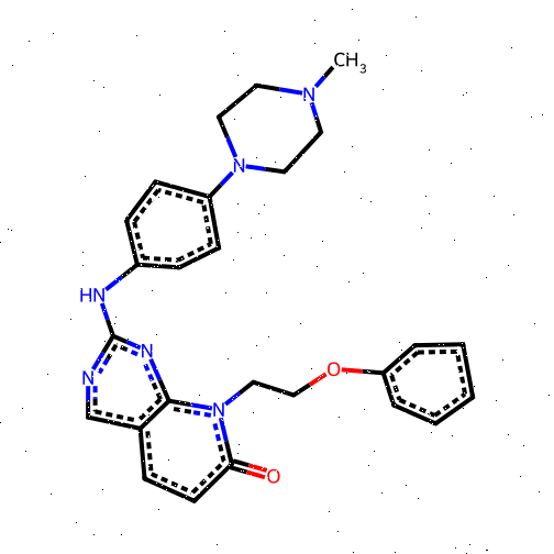 CN1CCN(c2ccc(Nc3ncc4ccc(=O)n(CCOc5ccccc5)c4n3)cc2)CC1